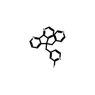 Fc1cc(CC2(Cc3ccncc3)c3cccnc3-c3ncccc32)ccn1